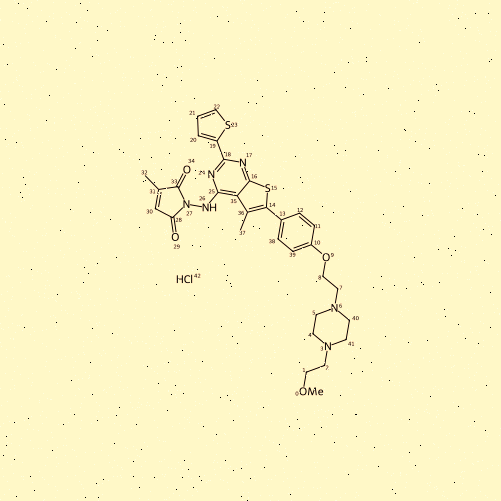 COCCN1CCN(CCOc2ccc(-c3sc4nc(-c5cccs5)nc(NN5C(=O)C=C(C)C5=O)c4c3C)cc2)CC1.Cl